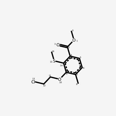 COC(=O)c1ccc(C)c(OCCCl)c1SC